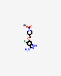 CC(C)(C)OC(=O)N1CCC(COc2cc3[nH]nc(N)c3cc2F)CC1